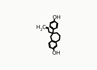 C=CCC1(c2ccc(O)cc2)CCCc2cc(O)ccc2C1